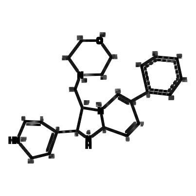 C1=CC(C2NC3C=CC(c4ccccc4)=CN3C2CN2CCOCC2)=CCN1